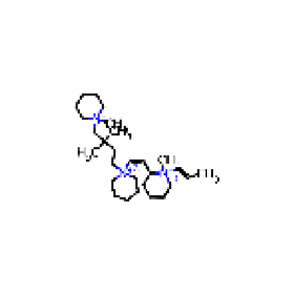 C/C=C/[N+]1(C)CCCCC1/C=C\[N+]1(CCC(C)(C)C[N+]2(C)CCCCC2)CCCCC1